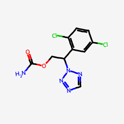 NC(=O)OCC(c1cc(Cl)ccc1Cl)n1ncnn1